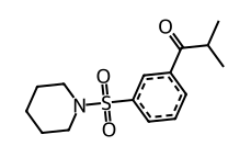 CC(C)C(=O)c1cccc(S(=O)(=O)N2CCCCC2)c1